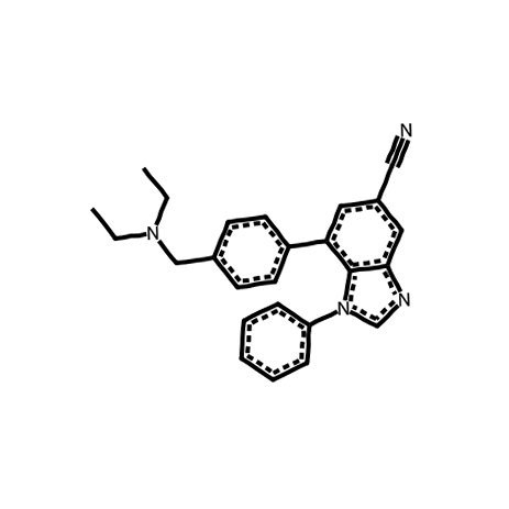 CCN(CC)Cc1ccc(-c2cc(C#N)cc3ncn(-c4ccccc4)c23)cc1